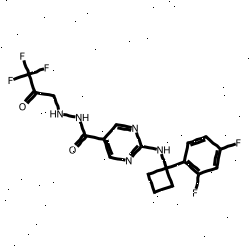 O=C(NNCC(=O)C(F)(F)F)c1cnc(NC2(c3ccc(F)cc3F)CCC2)nc1